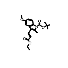 CCOC(=O)/C=C/c1c(C)n(C(=O)OC(C)(C)C)c2ccc(OC)cc12